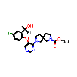 CCC(C)(O)c1cc(F)ccc1Oc1cncnc1N1CCC2(CCN(C(=O)OC(C)(C)C)C2)C1